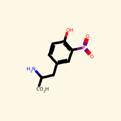 NC(Cc1ccc(O)c(P(=O)=O)c1)C(=O)O